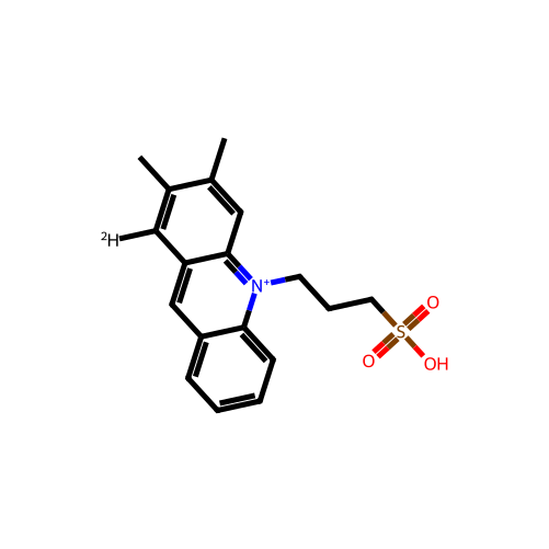 [2H]c1c(C)c(C)cc2c1cc1ccccc1[n+]2CCCS(=O)(=O)O